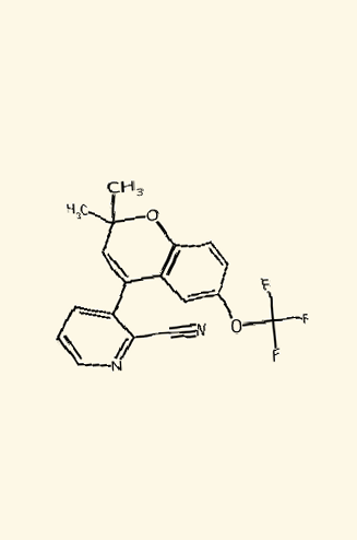 CC1(C)C=C(c2cccnc2C#N)c2cc(OC(F)(F)F)ccc2O1